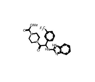 COC(=O)N1CCN(C(=O)C(Nc2nc3ccccc3[nH]2)c2cccc(C(F)(F)F)c2)CC1